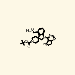 C[C@@H]1CCc2ncnc(N3CC4(CCN(C(=O)OC(C)(C)C)CC4)c4c(CN)cccc43)c21